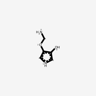 NCOc1c[nH]cc1O